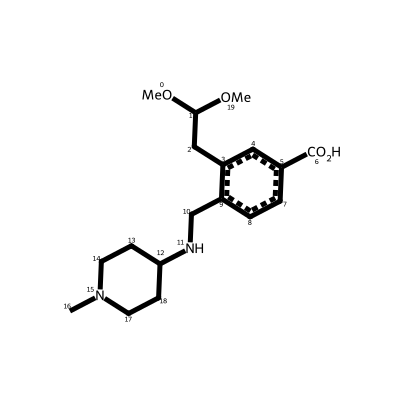 COC(Cc1cc(C(=O)O)ccc1CNC1CCN(C)CC1)OC